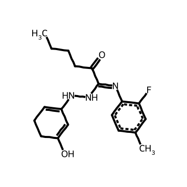 CCCCC(=O)/C(=N/c1ccc(C)cc1F)NNC1=CCCC(O)=C1